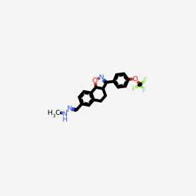 CN/N=C/c1ccc2c(c1)CCC1C(c3ccc(OC(F)(F)F)cc3)=NOC21